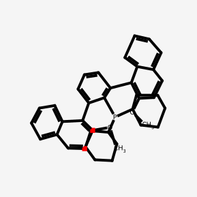 COc1ccc2ccccc2c1-c1cccc(-c2c(OC)ccc3ccccc23)c1P(C1CCCCC1)C1CCCCC1